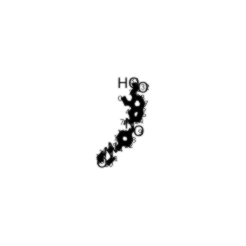 CCC1c2cc(N(C)C(=O)c3ccc(C=NN4CCOCC4)cc3)ccc2CCC1CC(=O)O